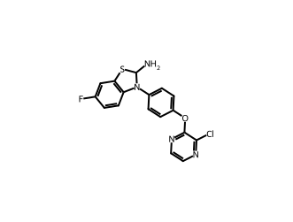 NC1Sc2cc(F)ccc2N1c1ccc(Oc2nccnc2Cl)cc1